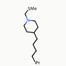 CSCN1CCC(CCCCC(C)C)CC1